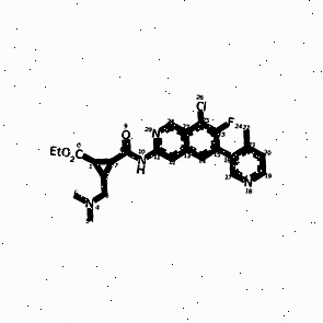 CCOC(=O)C1C(CN(C)C)C1C(=O)Nc1cc2cc(-c3cnccc3C)c(F)c(Cl)c2cn1